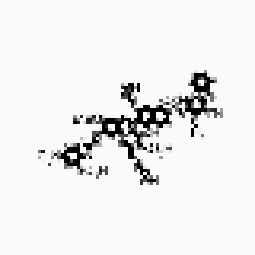 COc1cc(N=Nc2c(SOOO)cc3c(S(=O)(=O)O)c(N=Nc4c(C)c(C#N)c5nc6ccccc6n5c4O)ccc3c2O)c(N(CCCSOOO)CCCS(=O)(=O)O)cc1N=Nc1nc2c(S(=O)(=O)O)cc([N+](=O)[O-])cc2s1